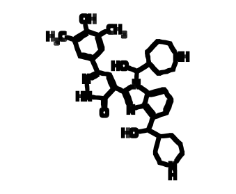 Cc1cc(-c2cc(-c3nc4c(C(O)C5CCCNCC5)cccc4n3C(O)C3CCCNCC3)c(=O)[nH]n2)cc(C)c1O